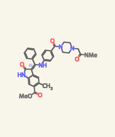 CNC(=O)CN1CCN(C(=O)c2ccc(N/C(=C3/C(=O)Nc4cc(C(=O)OC)c(C)cc43)c3ccccc3)cc2)CC1